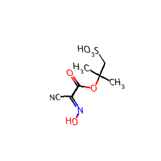 CC(C)(CS(=O)(=O)O)OC(=O)C(C#N)=NO